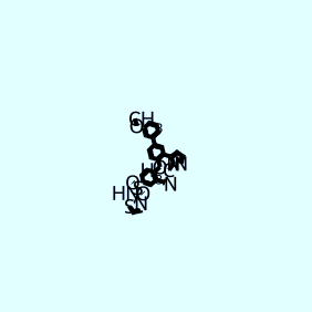 COc1cccc(-c2ccc(Oc3ccc(S(=O)(=O)Nc4nccs4)cc3C#N)c(-c3ccnn3C)c2)c1